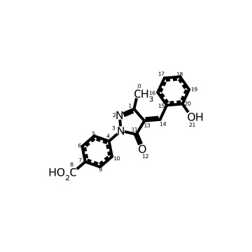 CC1=NN(c2ccc(C(=O)O)cc2)C(=O)/C1=C/c1ccccc1O